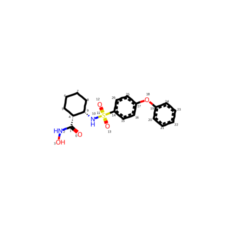 O=C(NO)[C@@H]1CCCC[C@@H]1NS(=O)(=O)c1ccc(Oc2ccccc2)cc1